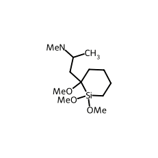 CNC(C)CC1(OC)CCCC[Si]1(OC)OC